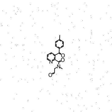 Cc1ccc(C(=O)c2cccnc2C(=O)N(C)CC=O)cc1